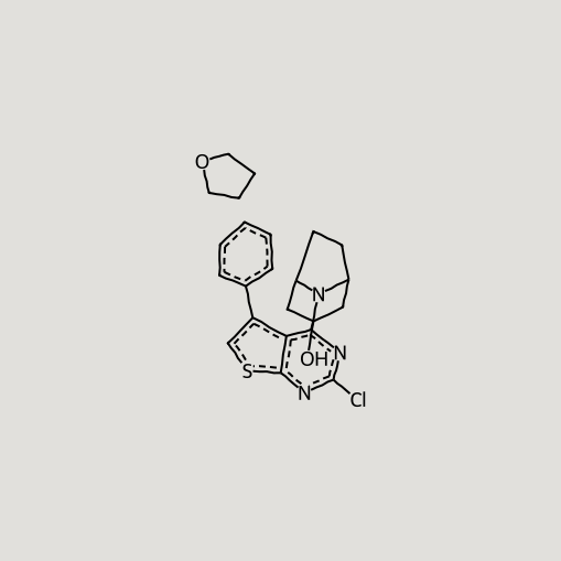 C1CCOC1.OC1CC2CCC(C1)N2c1nc(Cl)nc2scc(-c3ccccc3)c12